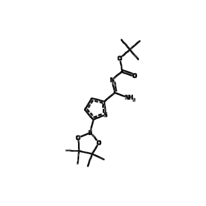 CC(C)(C)OC(=O)/N=C(\N)c1ccc(B2OC(C)(C)C(C)(C)O2)s1